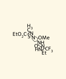 CCOC(=O)c1sc(N2CCC(NC(=O)c3nc(C(F)(F)F)c(CC)[nH]3)C(OC)C2)nc1C